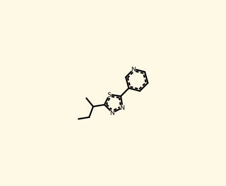 CCC(C)c1nnc(-c2cccnc2)s1